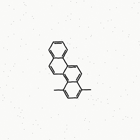 Cc1ccc(C)c2c1ccc1c3ccccc3ccc12